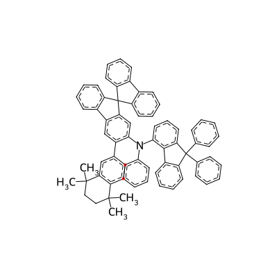 CC1(C)CCC(C)(C)c2cc(-c3cc4c(cc3N(c3ccccc3)c3cccc5c3-c3ccccc3C5(c3ccccc3)c3ccccc3)C3(c5ccccc5-c5ccccc53)c3ccccc3-4)ccc21